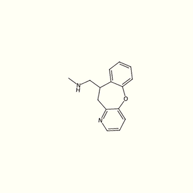 CNCC1Cc2ncccc2Oc2ccccc21